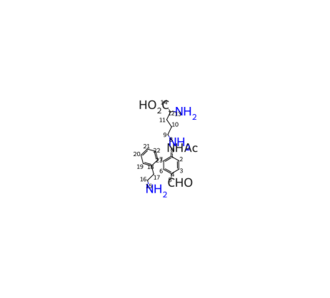 CC(=O)Nc1ccc(C=O)cc1.NCCCC(N)C(=O)O.NCCc1ccccc1